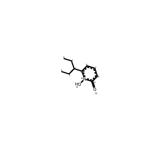 CCC(CC)c1cccc(=O)n1O